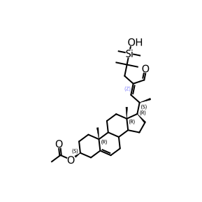 CC(=O)O[C@H]1CC[C@@]2(C)C(=CCC3C2CC[C@@]2(C)C3CC[C@@H]2[C@H](C)/C=C(\C=O)CC(C)(C)[Si](C)(C)O)C1